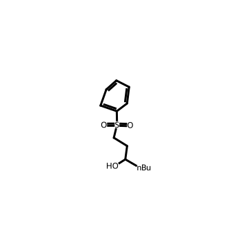 CCCCC(O)CCS(=O)(=O)c1ccccc1